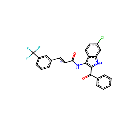 O=C(/C=C/c1cccc(C(F)(F)F)c1)Nc1c(C(=O)c2ccccc2)[nH]c2cc(Cl)ccc12